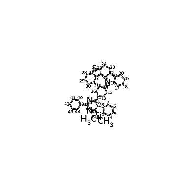 C[Si]1(C)c2ccccc2-c2c(-c3ccc(-n4c5ccccc5c5ccc6sc7ccccc7c6c54)cc3)nc(-c3ccccc3)nc21